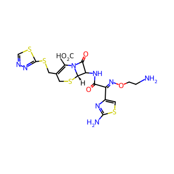 NCCON=C(C(=O)NC1C(=O)N2C(C(=O)O)=C(CSc3nncs3)CS[C@@H]12)c1csc(N)n1